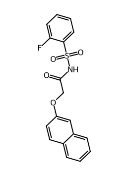 O=C(COc1ccc2ccccc2c1)NS(=O)(=O)c1ccccc1F